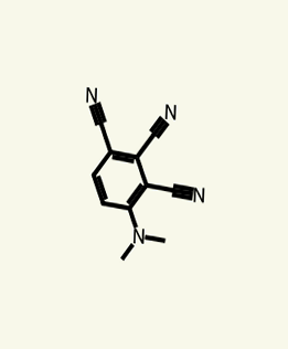 CN(C)c1ccc(C#N)c(C#N)c1C#N